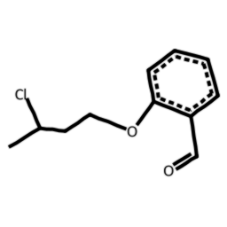 CC(Cl)CCOc1ccccc1C=O